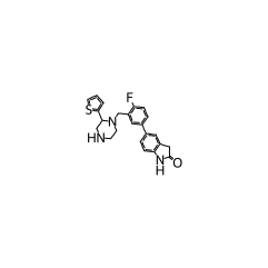 O=C1Cc2cc(-c3ccc(F)c(CN4CCNCC4c4cccs4)c3)ccc2N1